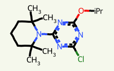 CC(C)Oc1nc(Cl)nc(N2C(C)(C)CCCC2(C)C)n1